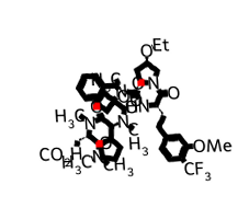 CCO[C@@H]1C[C@@H](C(=O)N(C)C2(C(=O)N(C)[C@H](C(=O)N(C)[C@@H](CC(=O)O)C(=O)N(C)C)C3CCCC3)CCC2)N(C(=O)[C@H](CCc2ccc(C(F)(F)F)c(OC)c2)NC(=O)OCc2ccccc2)C1